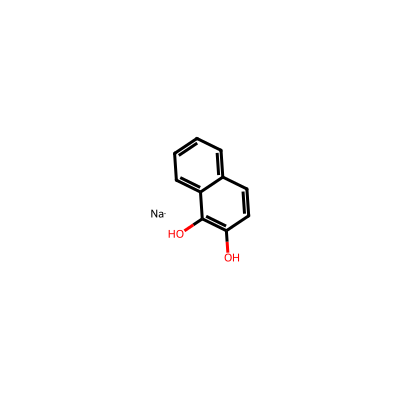 Oc1ccc2ccccc2c1O.[Na]